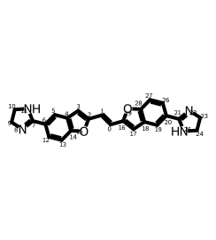 C(=C\c1cc2cc(C3=NCCN3)ccc2o1)/c1cc2cc(C3=NCCN3)ccc2o1